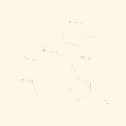 COc1cc(NC(=O)c2c(C)cccc2CC(=O)C(C)OC(N)=O)n[nH]1